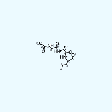 CCCC(C=O)NC(=O)C(C)NC(=O)CNC(=O)OC